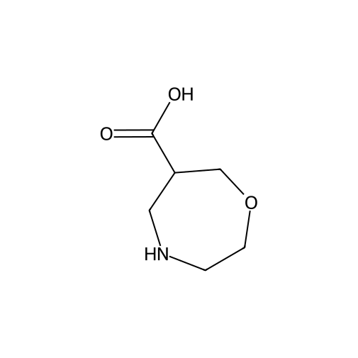 O=C(O)C1CNCCOC1